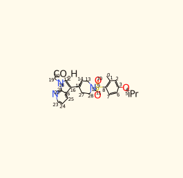 Cc1cc(OC(C)C)ccc1S(=O)(=O)N1CC=C(c2cn(CC(=O)O)c3ncccc23)CC1